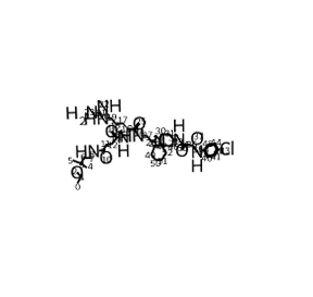 CCOC(C)(C)CCNC(=O)CCC(=O)N[C@@H](CCCNC(=N)N)C(=O)NCCN1CCC(NC(=O)C(=O)Nc2ccc(Cl)cc2)CC12CCCCC2